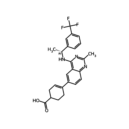 Cc1nc(N[C@H](C)c2cccc(C(F)(F)F)c2)c2cc(C3=CCC(C(=O)O)CC3)ccc2n1